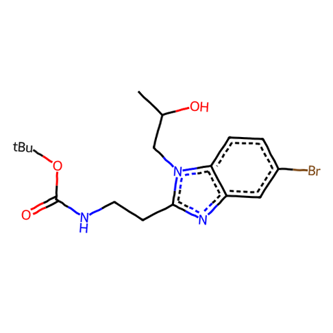 CC(O)Cn1c(CCNC(=O)OC(C)(C)C)nc2cc(Br)ccc21